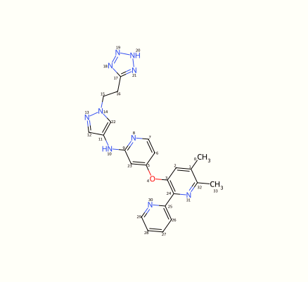 Cc1cc(Oc2ccnc(Nc3cnn(CCc4nn[nH]n4)c3)c2)c(-c2ccccn2)nc1C